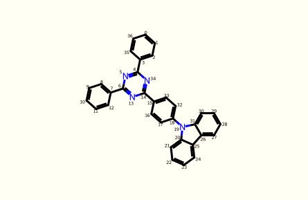 c1ccc(-c2nc(-c3ccccc3)nc(-c3ccc(-n4c5ccccc5c5ccccc54)cc3)n2)cc1